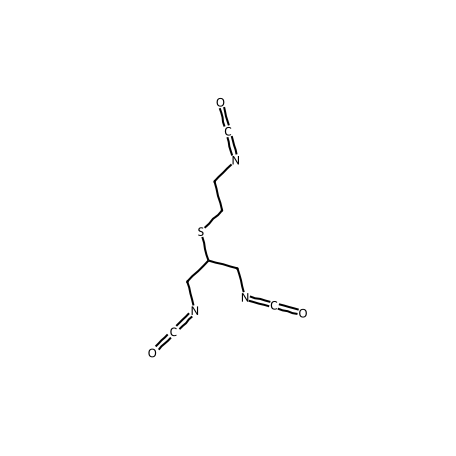 O=C=NCCSC(CN=C=O)CN=C=O